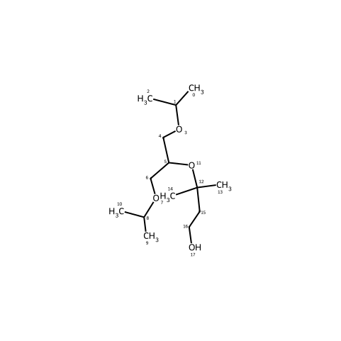 CC(C)OCC(COC(C)C)OC(C)(C)CCO